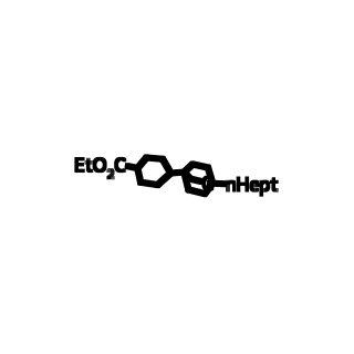 CCCCCCCC12CCC(C3CCC(C(=O)OCC)CC3)(CC1)CC2